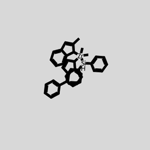 CC1=Cc2ccccc2[CH]1[Zr]([CH3])([CH3])([CH]1C=Cc2c(-c3ccccc3)cccc21)[SiH](c1ccccc1)c1ccccc1